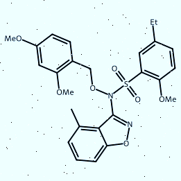 CCc1ccc(OC)c(S(=O)(=O)N(OCc2ccc(OC)cc2OC)c2noc3cccc(C)c23)c1